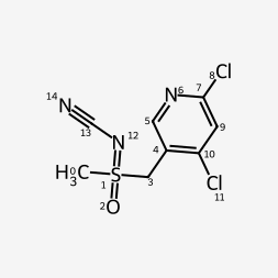 CS(=O)(Cc1cnc(Cl)cc1Cl)=NC#N